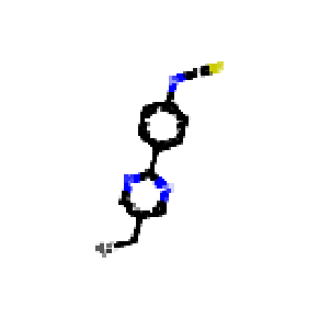 CCc1cnc(-c2ccc(N=C=S)cc2)nc1